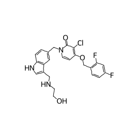 O=c1c(Cl)c(OCc2ccc(F)cc2F)ccn1Cc1ccc2[nH]cc(CNCCO)c2c1